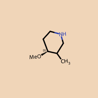 CO[C@H]1CCNCC1C